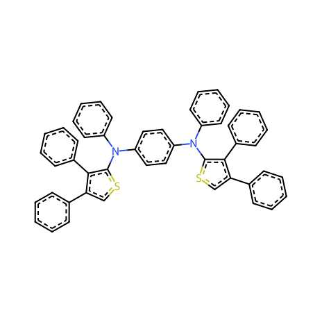 c1ccc(-c2csc(N(c3ccccc3)c3ccc(N(c4ccccc4)c4scc(-c5ccccc5)c4-c4ccccc4)cc3)c2-c2ccccc2)cc1